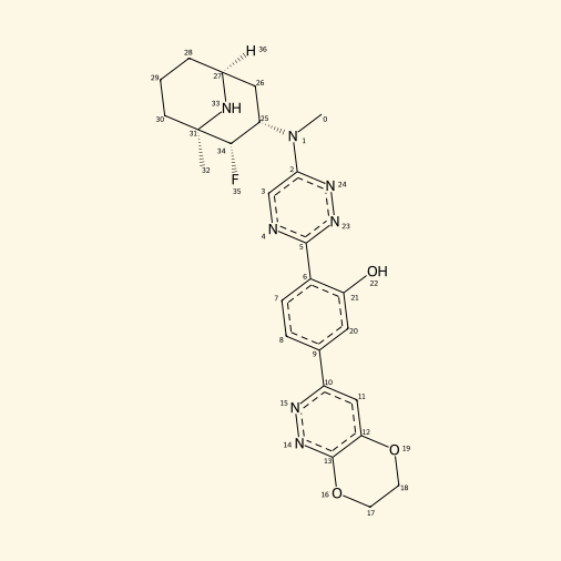 CN(c1cnc(-c2ccc(-c3cc4c(nn3)OCCO4)cc2O)nn1)[C@H]1C[C@@H]2CCC[C@@](C)(N2)[C@H]1F